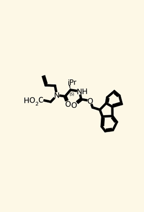 C=CCN(CC(=O)O)C(=O)[C@@H](NC(=O)OCC1c2ccccc2-c2ccccc21)C(C)C